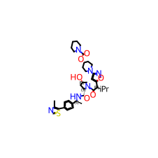 Cc1ncsc1-c1ccc([C@H](C)NC(=O)[C@@H]2C[C@@H](O)CN2C(=O)[C@@H](c2cc(N3CCC(OC(=O)N4CCCCC4)CC3)no2)C(C)C)cc1